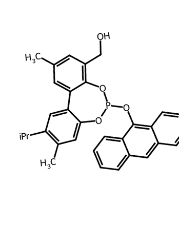 Cc1cc(CO)c2op(Oc3c4ccccc4cc4ccccc34)oc3cc(C)c(C(C)C)cc3c2c1